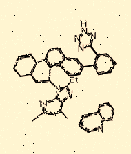 CCc1nc2c(C)cc(C)nc2n1C1CC2=C(C=CCC2)c2ccc3cc(-c4ccccc4-c4nn[nH]n4)ccc3c21.c1ccc2ncccc2c1